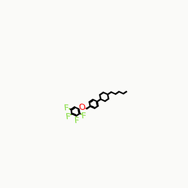 CCCCCC1CCC(c2ccc(COc3cc(F)c(F)c(F)c3F)cc2)CC1